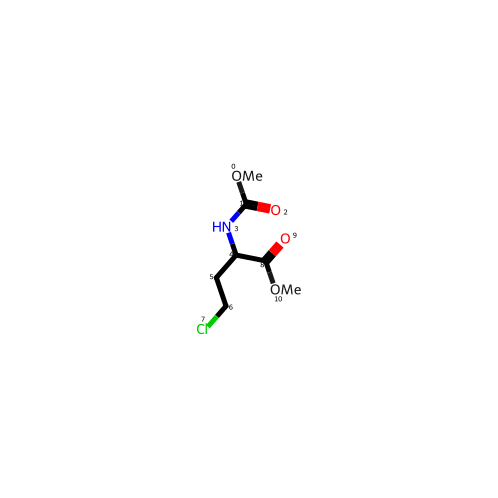 COC(=O)NC(CCCl)C(=O)OC